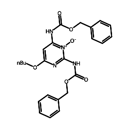 CCCCOc1cc(NC(=O)OCc2ccccc2)[n+]([O-])c(NC(=O)OCc2ccccc2)n1